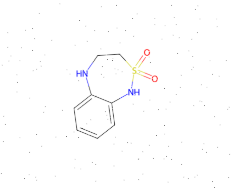 O=S1(=O)CCNc2ccccc2N1